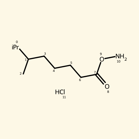 CC(C)C(C)CCCCC(=O)ON.Cl